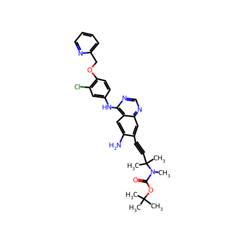 CN(C(=O)OC(C)(C)C)C(C)(C)C#Cc1cc2ncnc(Nc3ccc(OCc4ccccn4)c(Cl)c3)c2cc1N